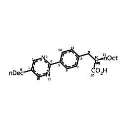 CCCCCCCCCCc1cnc(-c2ccc(C[C@@H](CCCCCCCC)C(=O)O)cc2)nc1